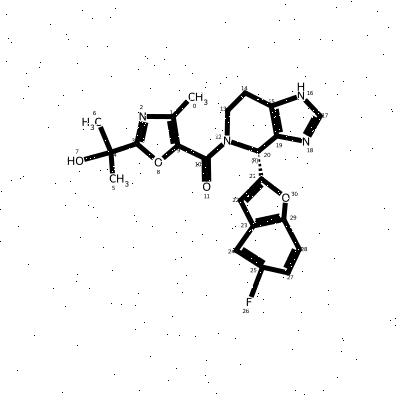 Cc1nc(C(C)(C)O)oc1C(=O)N1CCc2[nH]cnc2[C@@H]1c1cc2cc(F)ccc2o1